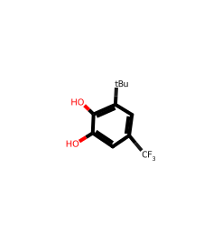 CC(C)(C)c1cc(C(F)(F)F)cc(O)c1O